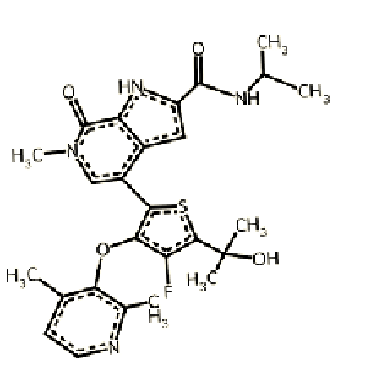 Cc1ccnc(C)c1Oc1c(-c2cn(C)c(=O)c3[nH]c(C(=O)NC(C)C)cc23)sc(C(C)(C)O)c1F